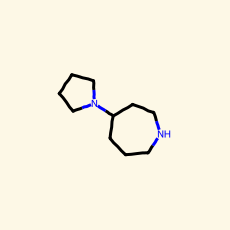 C1CNCCC(N2CCCC2)C1